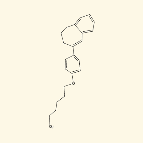 SCCCCCOc1ccc(C2=Cc3ccccc3CCC2)cc1